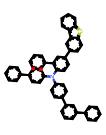 c1ccc(-c2ccc(N(c3ccc(-c4cccc(-c5ccccc5)c4)cc3)c3ccc(-c4ccc5sc6ccccc6c5c4)cc3-c3ccccc3)cc2)cc1